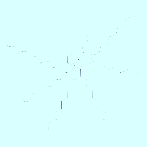 CCCCCCCCCCC(CCCCCCCC)CC1(CCCN)CCCC1(CC(CCCCCCCC)CCCCCCCCCC)CC(CCCCCCCC)CCCCCCCCCC